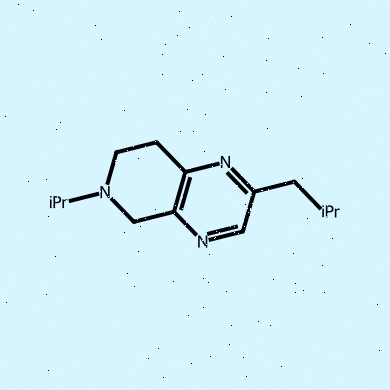 CC(C)Cc1cnc2c(n1)CCN(C(C)C)C2